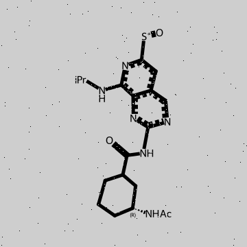 CC(=O)N[C@@H]1CCCC(C(=O)Nc2ncc3cc([S+]=O)nc(NC(C)C)c3n2)C1